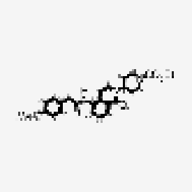 CCOC(=O)N1CCC(n2ccc3c(NC(=O)Cc4ccc(OC)cc4)cccc3c2=O)CC1